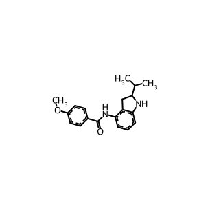 COc1ccc(C(=O)Nc2cccc3c2CC(C(C)C)N3)cc1